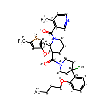 CCC[C@H]1N(C(=O)c2cnccc2C(F)(F)F)CCC[C@@]1(Oc1csc(C(F)(F)F)c1)C(=O)N1CCC(F)(c2ccccc2OCCCC(C)=O)CC1